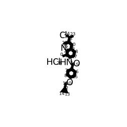 Cc1c(NC(=O)c2ccc(OCC3CC3)cc2)ccc2cc(C(C)Cl)cnc12.Cl